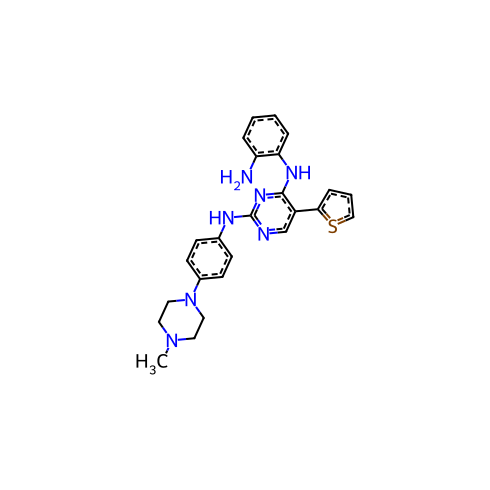 CN1CCN(c2ccc(Nc3ncc(-c4cccs4)c(Nc4ccccc4N)n3)cc2)CC1